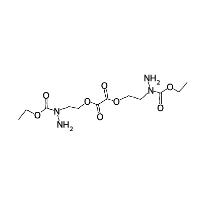 CCOC(=O)N(N)CCOC(=O)C(=O)OCCN(N)C(=O)OCC